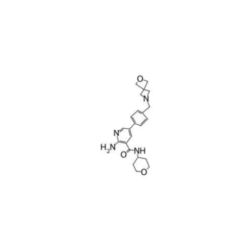 Nc1ncc(-c2ccc(CN3CC4(COC4)C3)cc2)cc1C(=O)NC1CCOCC1